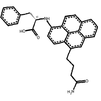 NC(=O)CCCc1cc2cccc3ccc4c(N[C@@H](Cc5ccccc5)C(=O)O)ccc1c4c32